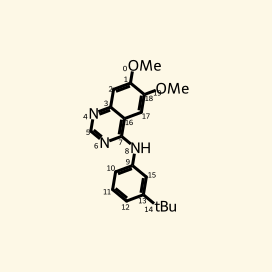 COc1cc2ncnc(Nc3cccc(C(C)(C)C)c3)c2cc1OC